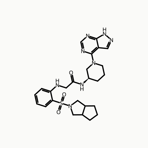 O=C(CNc1ccccc1S(=O)(=O)N1CC2CCCC2C1)N[C@@H]1CCCN(c2ncnc3[nH]ncc23)C1